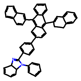 C1=CC2N=C(c3ccc(-c4ccc5c(C6=Cc7ccccc7CC6)c6ccccc6c(-c6ccc7ccccc7c6)c5c4)cc3)N(c3ccccc3)C2C=C1